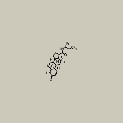 CC(C)C(CC(F)(F)F)NC(=O)C1CC[C@H]2[C@@H]3CCC4NC(=O)C=C[C@]4(C)[C@@H]3CC[C@]12C